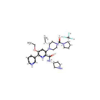 CCOc1cc(N2CCN(C(=O)N3CCC[C@H]3C(F)(F)F)C[C@H]2CC)c(C(=O)N[C@@H]2CCNC2)nc1-c1cccnc1